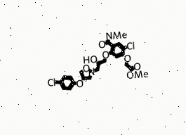 CNC(=O)c1cc(Cl)c(OCC(=O)OC)cc1OC[C@@H](O)CN1C[C@@H](Oc2ccc(Cl)cc2)CO1